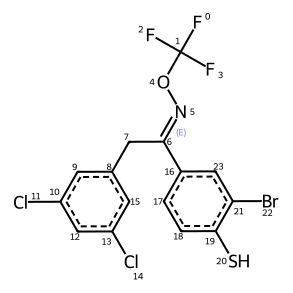 FC(F)(F)O/N=C(\Cc1cc(Cl)cc(Cl)c1)c1ccc(S)c(Br)c1